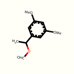 COc1cc(OC)cc(C(C)O[C]=O)c1